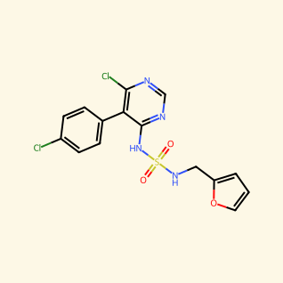 O=S(=O)(NCc1ccco1)Nc1ncnc(Cl)c1-c1ccc(Cl)cc1